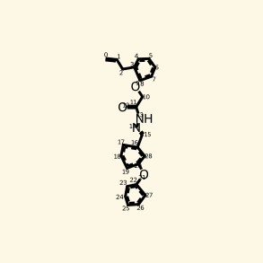 C=CCc1ccccc1OCC(=O)N/N=C/c1cccc(Oc2ccccc2)c1